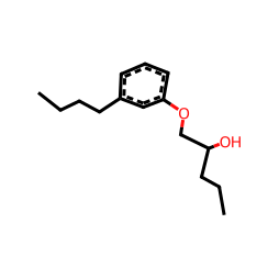 CCCCc1cccc(OCC(O)CCC)c1